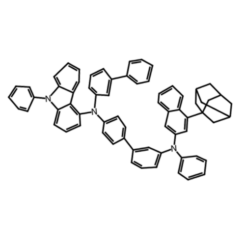 c1ccc(-c2cccc(N(c3ccc(-c4cccc(N(c5ccccc5)c5cc(C67CC8CC(CC(C8)C6)C7)c6ccccc6c5)c4)cc3)c3cccc4c3c3ccccc3n4-c3ccccc3)c2)cc1